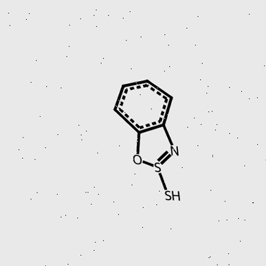 SS1=Nc2ccccc2O1